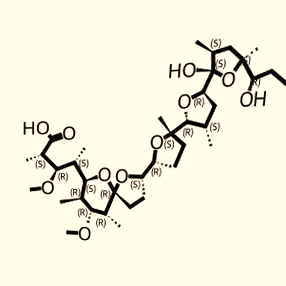 CC[C@@H](O)[C@]1(C)C[C@H](C)[C@@](O)([C@H]2C[C@H](C)[C@H]([C@]3(C)CC[C@H]([C@@H]4CC[C@@]5(O[C@H]([C@@H](C)[C@@H](OC)[C@H](C)C(=O)O)[C@H](C)[C@@H](OC)[C@H]5C)O4)O3)O2)O1